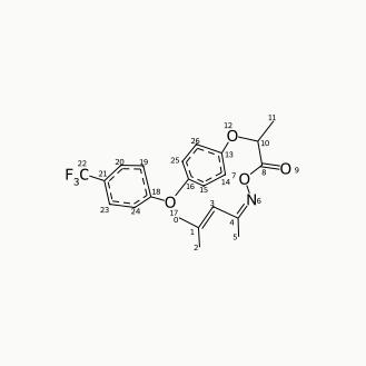 CC(C)=CC(C)=NOC(=O)C(C)Oc1ccc(Oc2ccc(C(F)(F)F)cc2)cc1